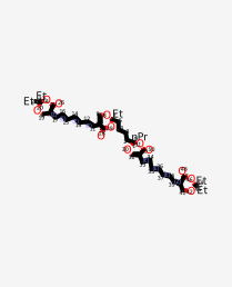 CCCC1(CCCCC2(CC)OC=C(/C=C/C=C/C=C/C=C3/COC(CC)(CC)OC3=O)C(=O)O2)OC=C(/C=C/C=C/C=C/C=C2/COC(CC)(CC)OC2=O)C(=O)O1